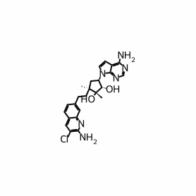 C[C@]1(CCc2ccc3cc(Cl)c(N)nc3c2)C[C@@H](n2ccc3c(N)ncnc32)[C@H](O)[C@]1(C)O